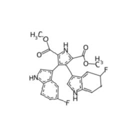 COC(=O)c1[nH]c(C(=O)OC)c(-c2c[nH]c3ccc(F)cc23)c1-c1c[nH]c2c1=CC(F)CC=2